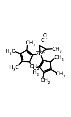 CC1=C(C)C(C)[C]([Zr+2]2([C]3=C(C)C(C)=C(C)C3C)[CH2][CH]2C)=C1C.[Cl-].[Cl-]